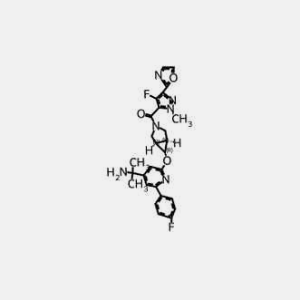 Cn1nc(-c2ncco2)c(F)c1C(=O)N1C[C@@H]2[C@H](C1)[C@@H]2Oc1cc(C(C)(C)N)cc(-c2ccc(F)cc2)n1